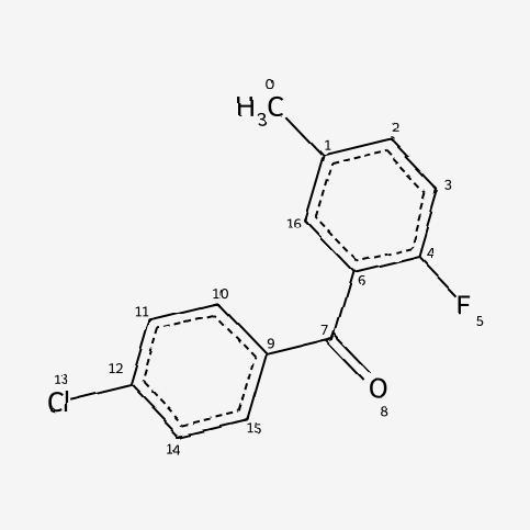 Cc1ccc(F)c(C(=O)c2ccc(Cl)cc2)c1